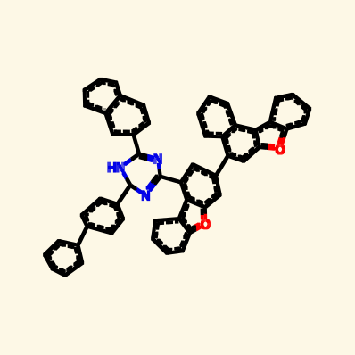 c1ccc(-c2ccc(C3N=C(c4cc(-c5cc6oc7ccccc7c6c6ccccc56)cc5oc6ccccc6c45)N=C(c4ccc5ccccc5c4)N3)cc2)cc1